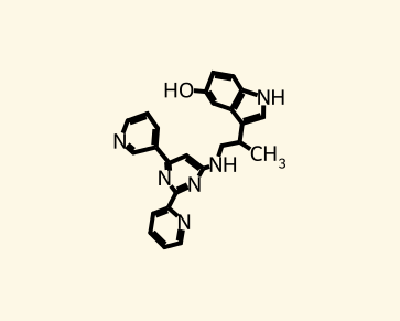 CC(CNc1cc(-c2cccnc2)nc(-c2ccccn2)n1)c1c[nH]c2ccc(O)cc12